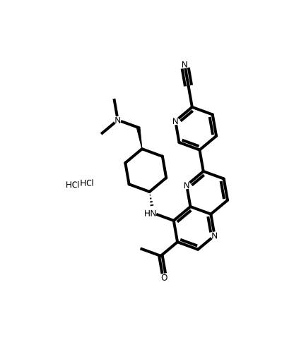 CC(=O)c1cnc2ccc(-c3ccc(C#N)nc3)nc2c1N[C@H]1CC[C@H](CN(C)C)CC1.Cl.Cl